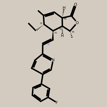 CC[C@@H]1C(C)=C[C@H]2C(=O)O[C@H](C)[C@H]2[C@H]1/C=C/c1ccc(-c2cccc(F)c2)cn1